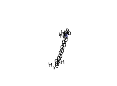 CCOCC(=O)NCCOCCOCCOCCOCCOCCOCCOCCOCCN/C=C(/CNC(=O)C1CCCCC1)N=N